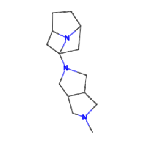 CN1CC2CN(C34CC5CCC(C3)N54)CC2C1